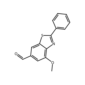 COc1cc(C=O)cc2sc(-c3ccccc3)nc12